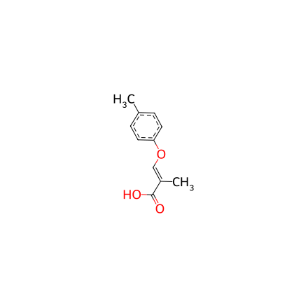 C/C(=C\Oc1ccc(C)cc1)C(=O)O